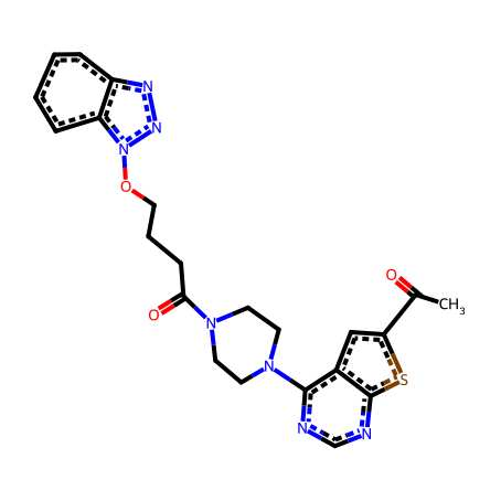 CC(=O)c1cc2c(N3CCN(C(=O)CCCOn4nnc5ccccc54)CC3)ncnc2s1